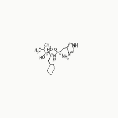 CC(C)[C@H](O)[C@H](O)[C@H](CC1CCCCC1)NC(=O)[C@@H](N)Cc1c[nH]cn1